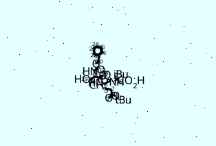 CCC(C)[C@H](NC(=O)[C@H](CCC(=O)OC(C)(C)C)NC(=O)[C@@H](NC(=O)OCc1ccccc1)C(C)O)C(=O)O